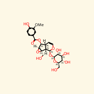 COc1cc(C(=O)O[C@H]2[C@@H]3C=CO[C@@H](O[C@@H]4O[C@H](CO)[C@@H](O)[C@H](O)[C@H]4O)[C@@H]3[C@@]3(CO)O[C@@H]23)ccc1O